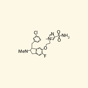 CNC1Cc2cc(F)c(OCC[N+]3(C)C=NC(S(N)(=O)=O)=C3)cc2C1Cc1cccc(Cl)c1